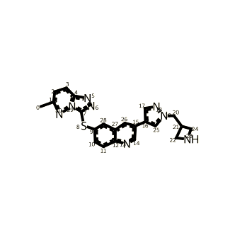 Cc1ccc2nnc(Sc3ccc4ncc(-c5cnn(CC6CNC6)c5)cc4c3)n2n1